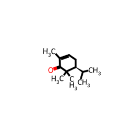 CC1=CC[C@@H](C(C)C)C(C)(C)C1=O